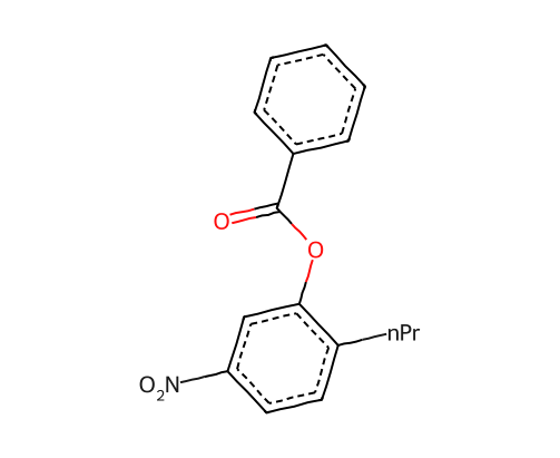 CCCc1ccc([N+](=O)[O-])cc1OC(=O)c1ccccc1